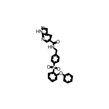 O=C(NCc1ccc(S(=O)(=O)c2ccccc2Oc2ccccc2)cc1)c1cnc2[nH]ncc2c1